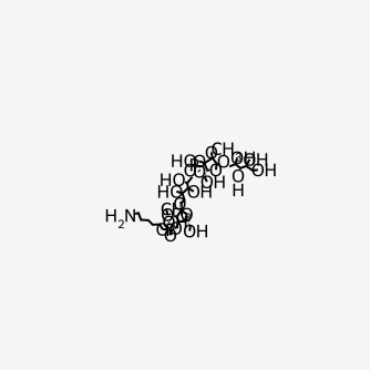 COC1C(OP(=O)(O)OCCCCCN)[C@@H](CO)O[C@H]1OCC(O)C(O)C(O)COP(=O)(O)OC1C(OC)[C@H](OCC(O)C(O)C(O)CO)O[C@@H]1CO